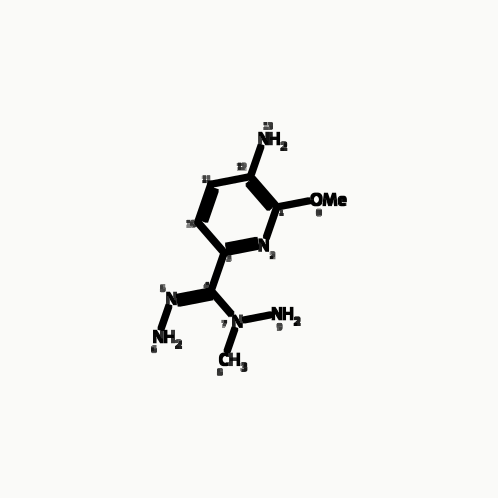 COc1nc(/C(=N/N)N(C)N)ccc1N